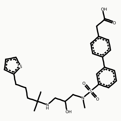 CN(CC(O)CNC(C)(C)CCCc1cccs1)S(=O)(=O)c1cccc(-c2ccc(CC(=O)O)cc2)c1